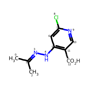 CC(C)=NNc1cc(Cl)ncc1C(=O)O